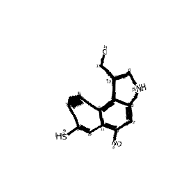 O=Nc1cc2c(c3ccc(S)cc13)C(CCl)CN2